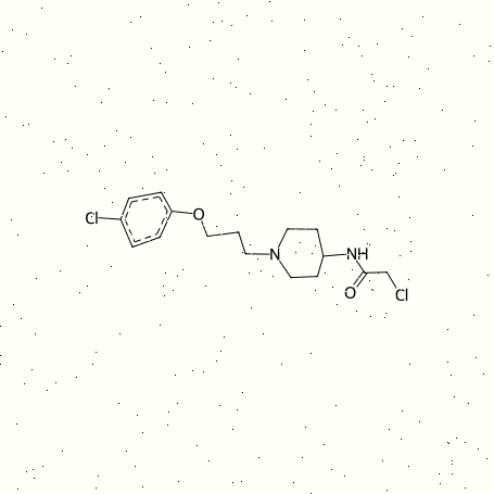 O=C(CCl)NC1CCN(CCCOc2ccc(Cl)cc2)CC1